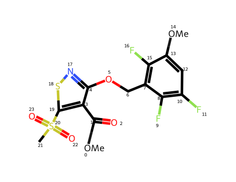 COC(=O)c1c(OCc2c(F)c(F)cc(OC)c2F)nsc1S(C)(=O)=O